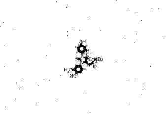 Cc1cc(N2C(=S)N(c3ccc(O)cc3)C(C)(C)C2=NC(=O)OC(C)(C)C)ccc1C#N